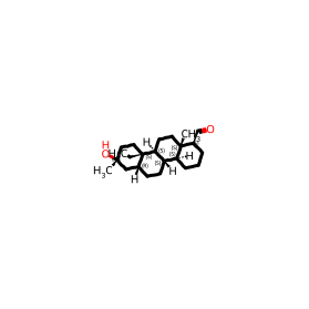 CC[C@]12CC[C@@](C)(O)C[C@H]1CC[C@H]1[C@@H]3CCC[C@H](C=O)[C@@]3(C)CC[C@@H]12